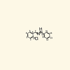 Clc1ccccc1C=NNc1ccccc1